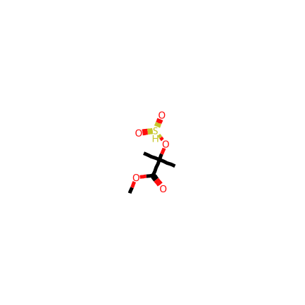 COC(=O)C(C)(C)O[SH](=O)=O